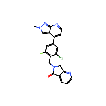 Cn1cc2c(-c3cc(F)c(CN4Cc5ncccc5C4=O)c(Cl)c3)ccnc2n1